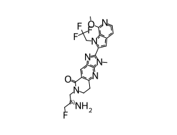 COc1nccc2cc(-c3nc4cc5c(nc4n3C)CCN(C[C@H](N)CF)C5=O)n(CC(F)(F)F)c12